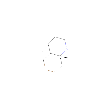 C1CN[C@@H]2CSSC[C@H]2C1